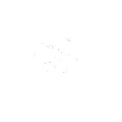 CC(C)N1C(=O)C(O[SiH3])(C(C)C)C1(c1ccccc1)C(C)C